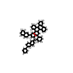 c1ccc(-c2ccc3cc(N(c4cccc(-c5ccc6ccccc6c5)c4)c4ccccc4-c4ccc5c(c4)c(-c4ccccc4)c(-c4ccccc4)c4ccccc45)ccc3c2)cc1